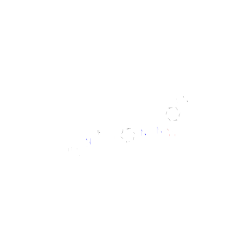 N#Cc1ccc(C(=O)N2CCN(c3ccc(OC[C@H]4CCCN(C(=O)O)C4)cc3)CC2)cc1